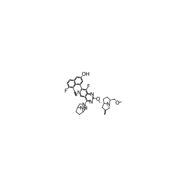 C#Cc1c(F)ccc2cc(O)cc(-c3ncc4c(N5CC6CCC(C5)N6)nc(OC[C@]56CC[C@@H](COC)N5CC(=C)C6)nc4c3F)c12